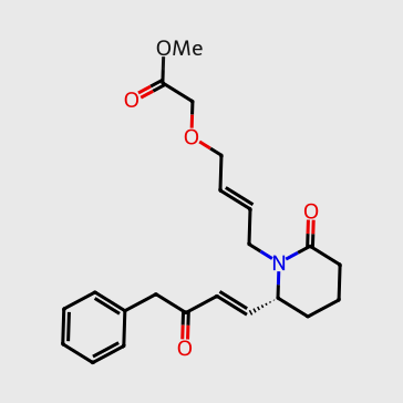 COC(=O)COCC=CCN1C(=O)CCC[C@@H]1C=CC(=O)Cc1ccccc1